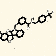 O=C(NCc1ccc(C(F)(F)F)cc1)c1cccc(CN2C(=O)C3(COc4cc5c(cc43)OCO5)c3ccccc32)c1